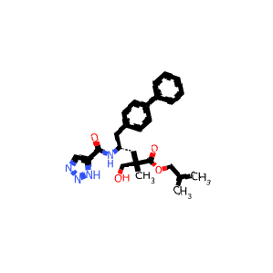 CC(C)COC(=O)C(C)(CO)C[C@@H](Cc1ccc(-c2ccccc2)cc1)NC(=O)c1cnn[nH]1